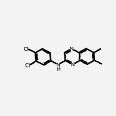 Cc1cc2ncc(Nc3ccc(Cl)c(Cl)c3)nc2cc1C